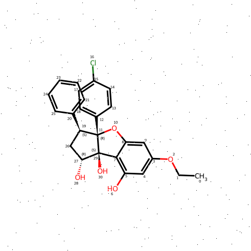 CCOc1cc(O)c2c(c1)O[C@@]1(c3ccc(Cl)cc3)[C@H](c3ccccc3)C[C@@H](O)[C@@]21O